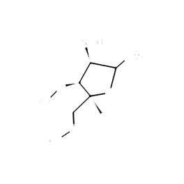 CCCCOC[C@@]1(CC)OC(OC)[C@H](N(C)O)[C@@H]1OCCCC